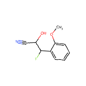 COc1ccccc1C(F)C(O)C#N